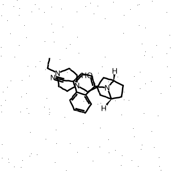 CCN1CCN(C[C@]2(O)C[C@H]3CC[C@@H](C2)N3c2ccc(C#N)c3ccccc23)CC1